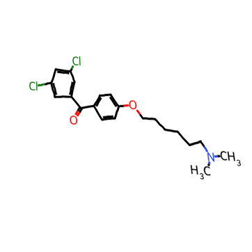 CN(C)CCCCCCOc1ccc(C(=O)c2cc(Cl)cc(Cl)c2)cc1